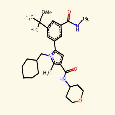 COC(C)(C)c1cc(C(=O)NC(C)(C)C)cc(-c2cc(C(=O)NC3CCOCC3)c(C)n2CC2CCCCC2)c1